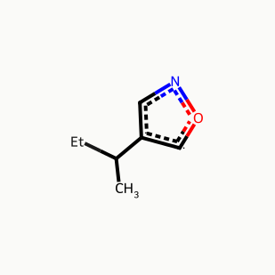 CCC(C)c1[c]onc1